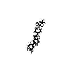 CC(C)(C)OC(=O)N1CCC(C2Cc3cc(-c4ccnc(F)c4)ncc3O2)CC1